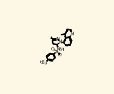 Cc1cc(NS(=O)(=O)c2ccc(C(C)(C)C)cc2)n(-c2cccc3nccc(C)c23)n1